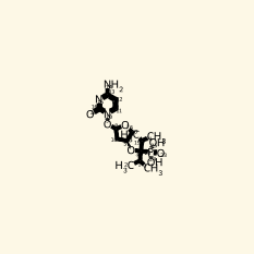 CC(C)C(O[C@@H]1COC(On2ccc(N)nc2=O)C1)(C(C)C)P(=O)(O)O